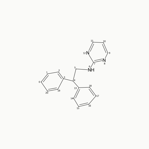 c1ccc(C(CNc2ncccn2)c2ccccc2)cc1